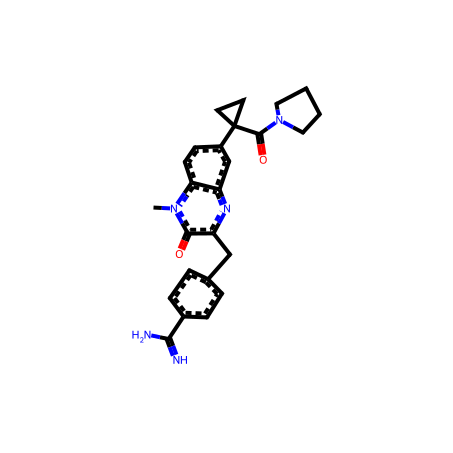 Cn1c(=O)c(Cc2ccc(C(=N)N)cc2)nc2cc(C3(C(=O)N4CCCC4)CC3)ccc21